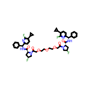 O=C(N[C@@H](c1ccccc1)c1ccc(C2CC2)c(F)n1)[C@@H]1C[C@@H](F)CN1C(=O)COCCOCCOCC(=O)N1C[C@H](F)C[C@H]1C(=O)N[C@@H](c1ccccc1)c1ccc(C2CC2)c(F)n1